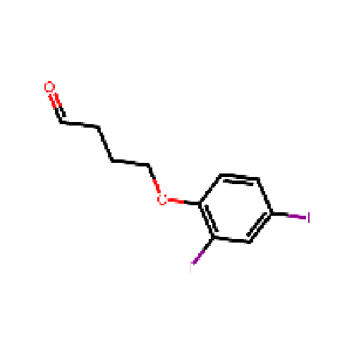 O=CCCCOc1ccc(I)cc1I